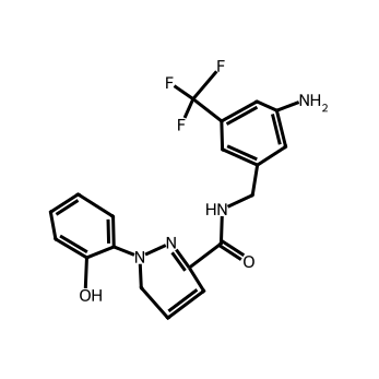 Nc1cc(CNC(=O)C2=NN(c3ccccc3O)CC=C2)cc(C(F)(F)F)c1